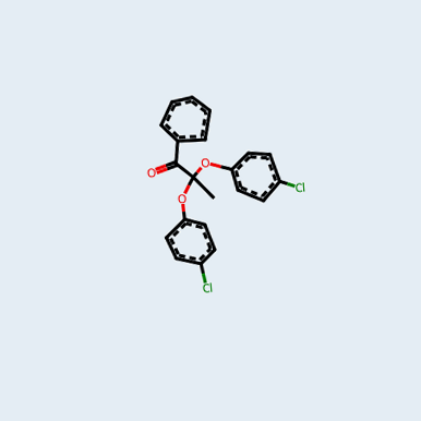 CC(Oc1ccc(Cl)cc1)(Oc1ccc(Cl)cc1)C(=O)c1ccccc1